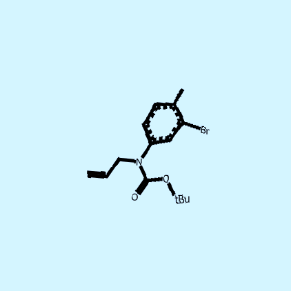 C=CCN(C(=O)OC(C)(C)C)c1ccc(C)c(Br)c1